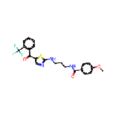 COc1ccc(C(=O)NCCCNc2ncc(C(=O)c3ccccc3C(F)(F)F)s2)cc1